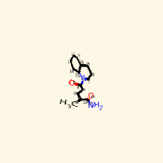 CC(CCC(=O)N1CCCC2CCCCC21)C(N)=O